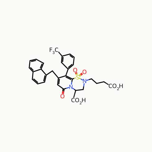 O=C(O)CCCN1CC(C(=O)O)n2c(c(-c3cccc(C(F)(F)F)c3)c(Cc3cccc4ccccc34)cc2=O)S1(=O)=O